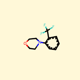 FC(F)(F)c1cc[c]cc1N1CCOCC1